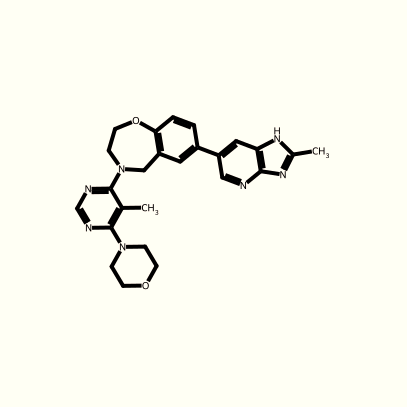 Cc1nc2ncc(-c3ccc4c(c3)CN(c3ncnc(N5CCOCC5)c3C)CCO4)cc2[nH]1